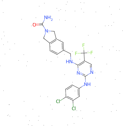 NC(=O)N1Cc2ccc(CNc3nc(Nc4ccc(Cl)c(Cl)c4)ncc3C(F)(F)F)cc2C1